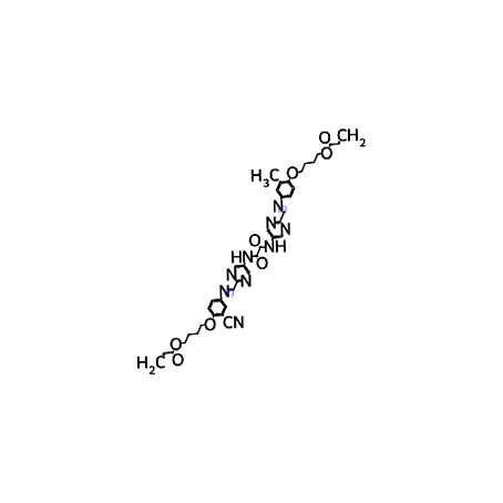 C=CC(=O)OCCCCOc1ccc(/N=C/c2ncc(NC(=O)C(=O)Nc3cnc(/C=N/c4ccc(OCCCCOC(=O)C=C)c(C#N)c4)nc3)cn2)cc1C